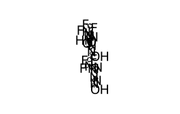 O=S(=O)(Nc1cnc2ccc(N3C[C@@H](F)C[C@@H]3c3cc(F)ccc3F)nn12)c1ccc(N2CC(O)C(c3cc(F)c([C@H]4C[C@H](F)CN4c4ccc5ncc(/C=C/c6cnc(N7CC[C@@H](O)C7)cn6)n5n4)cc3F)C2)cn1